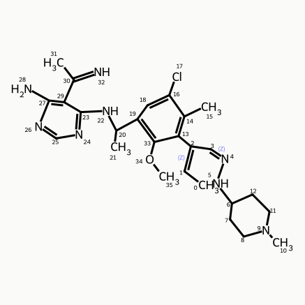 C/C=C(\C=N/NC1CCN(C)CC1)c1c(C)c(Cl)cc(C(C)Nc2ncnc(N)c2C(C)=N)c1OC